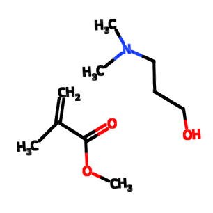 C=C(C)C(=O)OC.CN(C)CCCO